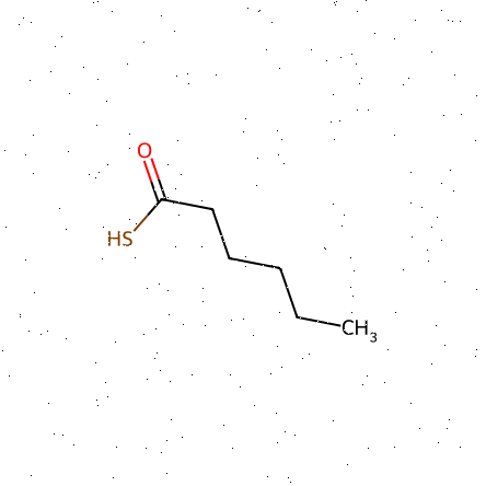 CCCCCC(=O)S